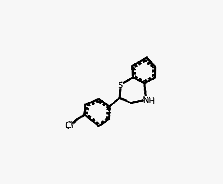 Clc1ccc(C2CNc3ccccc3S2)cc1